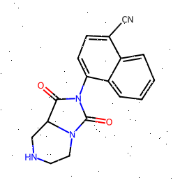 N#Cc1ccc(N2C(=O)C3CNCCN3C2=O)c2ccccc12